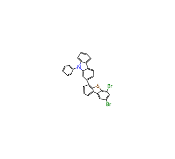 Brc1cc(Br)c2sc3c(-c4ccc5c6ccccc6n(-c6ccccc6)c5c4)cccc3c2c1